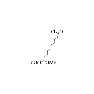 CCCCCCCCC(CCCCCCCCC(=O)Cl)OC